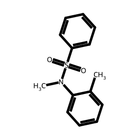 Cc1ccccc1N(C)S(=O)(=O)c1ccccc1